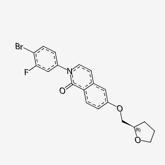 O=c1c2ccc(OC[C@H]3CCCO3)cc2ccn1-c1ccc(Br)c(F)c1